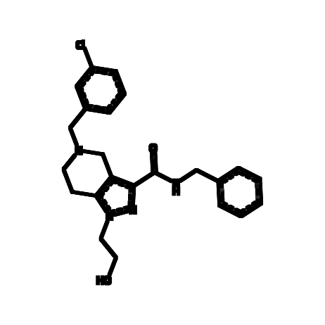 O=C(NCc1ccccc1)c1nn(CCO)c2c1CN(Cc1cccc(Cl)c1)CC2